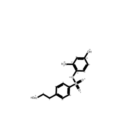 CCCCCCCCCCCCc1ccc(S(=O)(=O)Oc2ccc(O)cc2N)cc1